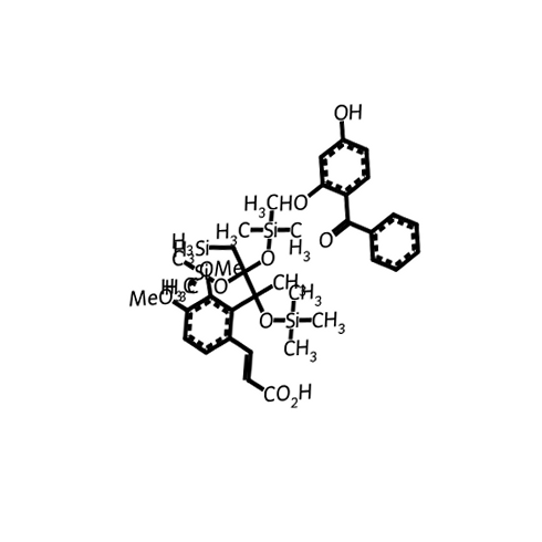 COc1ccc(C=CC(=O)O)c(C(C)(O[Si](C)(C)C)C(C[SiH3])(O[Si](C)(C)C)O[Si](C)(C)C)c1OC.O=C(c1ccccc1)c1ccc(O)cc1O